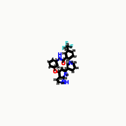 O=C(Nc1cccc(Oc2cc(-c3cccnc3)nc3[nH]ccc23)c1)c1cccc(C(F)(F)F)c1